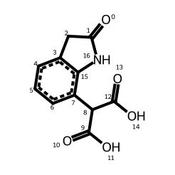 O=C1Cc2cccc(C(C(=O)O)C(=O)O)c2N1